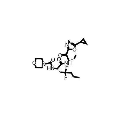 CCCC(F)(F)C[C@H](NC(=O)N1CCOCC1)C(=O)N[C@@H](CC)C(=O)c1nnc(C2CC2)o1